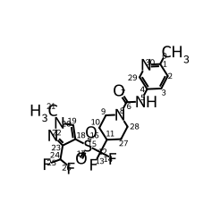 Cc1ccc(NC(=O)N2CCC(C(F)(F)S(=O)(=O)c3cn(C)nc3C(F)F)CC2)cn1